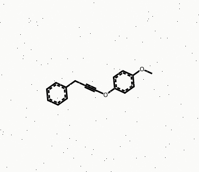 COc1ccc(OC#CCc2ccccc2)cc1